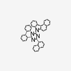 c1ccc(-c2ccccc2-c2nc(-c3cccc4ccccc34)nc(-n3c4ccccc4c4c5ccccc5ccc43)n2)cc1